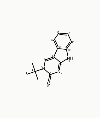 CC(C)(C)n1cc2c(nc1=O)[nH]c1ccccc12